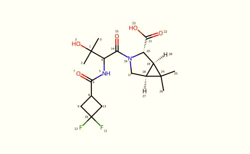 CC(C)(O)C(NC(=O)C1CC(F)(F)C1)C(=O)N1C[C@H]2[C@@H]([C@H]1C(=O)O)C2(C)C